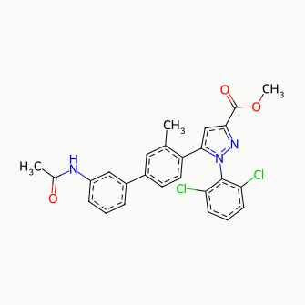 COC(=O)c1cc(-c2ccc(-c3cccc(NC(C)=O)c3)cc2C)n(-c2c(Cl)cccc2Cl)n1